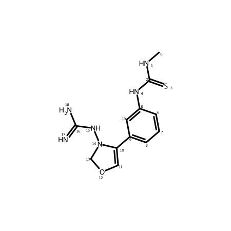 CNC(=S)Nc1cccc(C2=COCN2NC(=N)N)c1